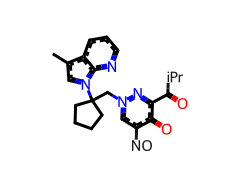 Cc1cn(C2(Cn3cc(N=O)c(=O)c(C(=O)C(C)C)n3)CCCC2)c2ncccc12